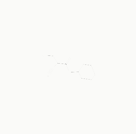 CCC(C#N)C(=O)OC1CCCCC1